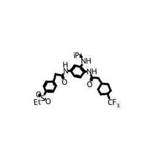 CCS(=O)(=O)c1ccc(CC(=O)Nc2ccc(NC(=O)CC3CCC(C(F)(F)F)CC3)c(NC(C)C)c2)cc1